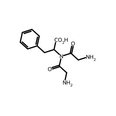 NCC(=O)N(C(=O)CN)C(Cc1ccccc1)C(=O)O